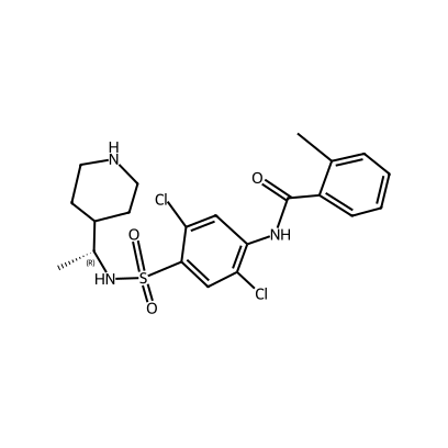 Cc1ccccc1C(=O)Nc1cc(Cl)c(S(=O)(=O)N[C@H](C)C2CCNCC2)cc1Cl